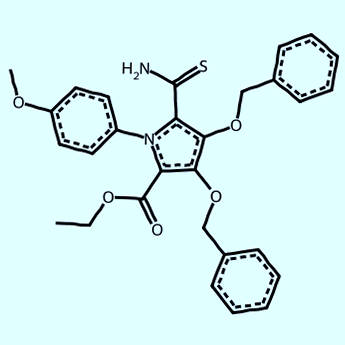 CCOC(=O)c1c(OCc2ccccc2)c(OCc2ccccc2)c(C(N)=S)n1-c1ccc(OC)cc1